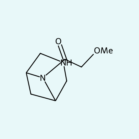 COCC(=O)N1C2CNCC1C2